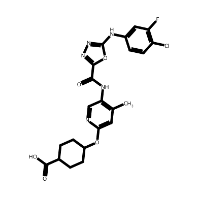 Cc1cc(OC2CCC(C(=O)O)CC2)ncc1NC(=O)c1nnc(Nc2ccc(Cl)c(F)c2)o1